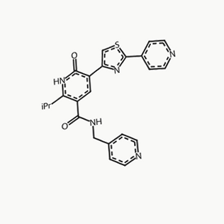 CC(C)c1[nH]c(=O)c(-c2csc(-c3ccncc3)n2)cc1C(=O)NCc1ccncc1